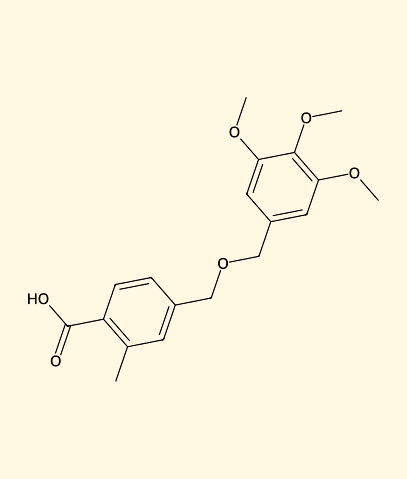 COc1cc(COCc2ccc(C(=O)O)c(C)c2)cc(OC)c1OC